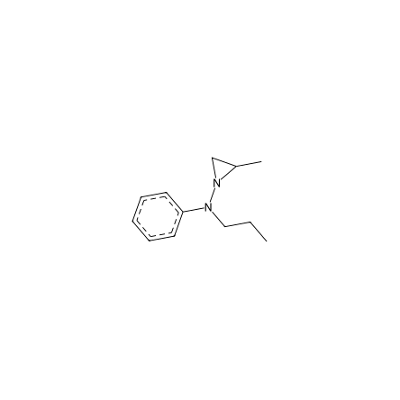 CCCN(c1ccccc1)N1CC1C